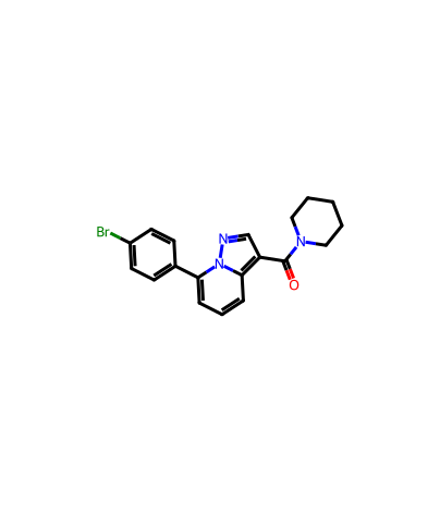 O=C(c1cnn2c(-c3ccc(Br)cc3)cccc12)N1CCCCC1